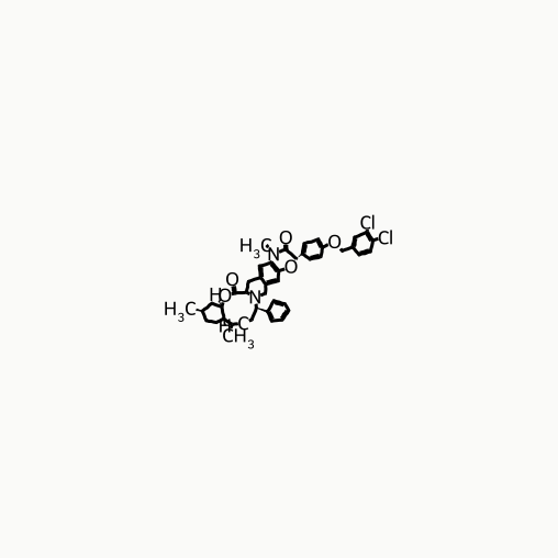 CC1CC[C@H](c2ccccc2)N2Cc3cc4c(cc3CC2C(=O)O[C@@H]2C[C@H](C)CC[C@@H]12)N(C)C(=O)[C@H](c1ccc(OCc2ccc(Cl)c(Cl)c2)cc1)O4